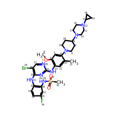 COc1cc(N2CCC(N3CCN(C4CC4)CC3)CC2)c(C)cc1Nc1ncc(Br)c(Nc2ccc(F)cc2NS(C)(=O)=O)n1